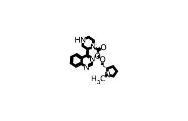 CN1CCC[C@H]1COOC(=O)N1CCNCC1c1ncnc2ccccc12